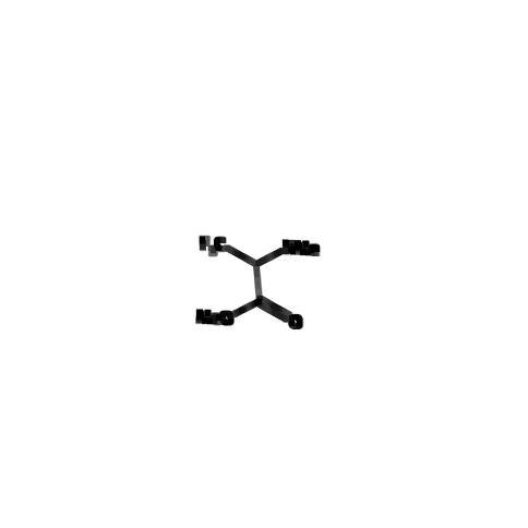 CNC(C(=O)OC)C(F)(F)F